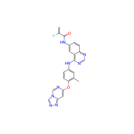 C=C(F)C(=O)Nc1ccc2ncnc(Nc3ccc(Oc4cc5nncn5cn4)c(C)c3)c2c1